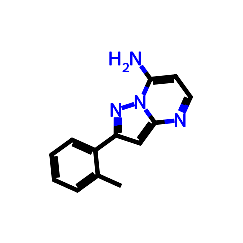 Cc1ccccc1-c1cc2nccc(N)n2n1